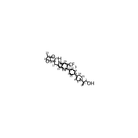 C=C(CO)N1CC=C(c2ccc(-c3nc4cc(CC5COC6C(C)COC56)[nH]c4cc3C(F)(F)F)cc2)CC1